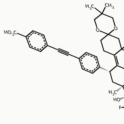 CC1(C)COC2(CCC3=C4C(CCC3(O)C2)C2CC[C@@](O)(C(F)(F)C(F)(F)F)[C@@]2(C)C[C@@H]4c2ccc(C#Cc3ccc(C(=O)O)cc3)cc2)OC1